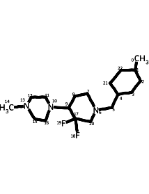 CC1CCC(CN2CCC(N3CCN(C)CC3)C(F)(F)C2)CC1